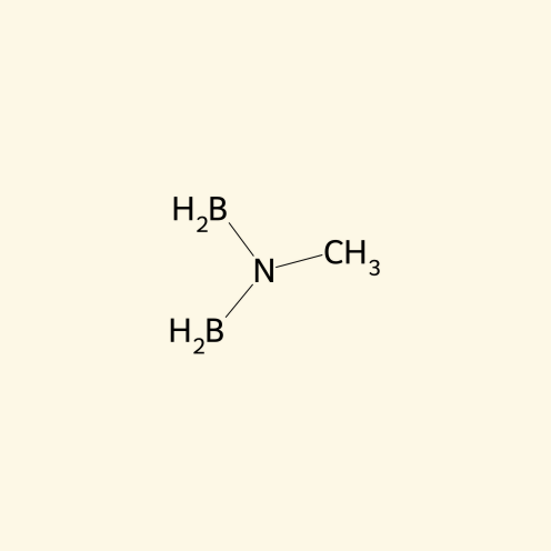 BN(B)C